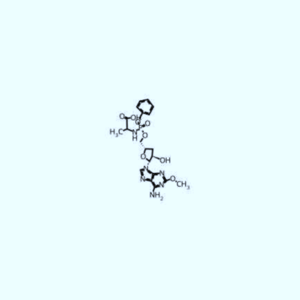 COc1nc(N)c2ncn([C@@H]3O[C@H](COP(=O)(NC(C)C(=O)O)Oc4ccccc4)C[C@H]3O)c2n1